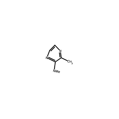 CNc1nccnc1C